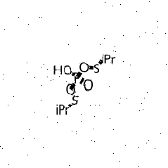 CC(C)SOP(=O)(O)OSC(C)C